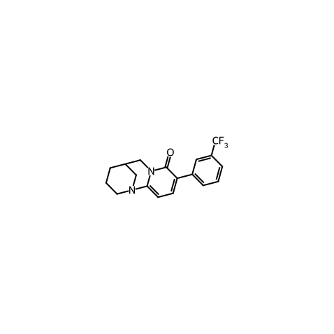 O=c1c(-c2cccc(C(F)(F)F)c2)ccc2n1CC1CCCN2C1